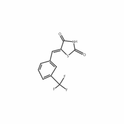 O=C1NC(=O)C(=Cc2cccc(C(F)(F)F)c2)S1